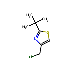 CC(C)(C)c1nc(CCl)cs1